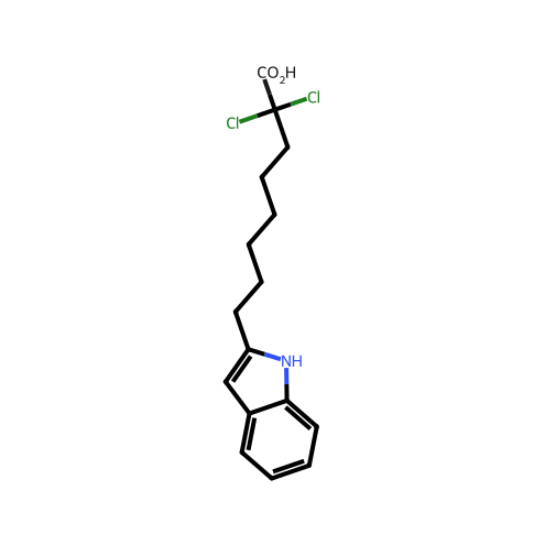 O=C(O)C(Cl)(Cl)CCCCCCc1cc2ccccc2[nH]1